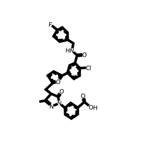 CC1=NN(c2cccc(C(=O)O)c2)C(=O)C1Cc1ccc(-c2ccc(Cl)c(C(=O)NCc3ccc(F)cc3)c2)o1